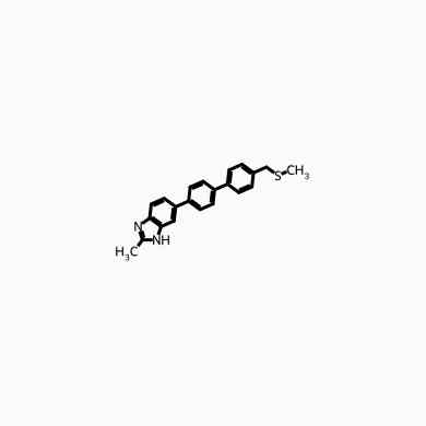 CSCc1ccc(-c2ccc(-c3ccc4nc(C)[nH]c4c3)cc2)cc1